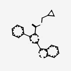 O=C(NCC1CC1)c1nc(-c2n[nH]c3ccccc23)sc1-c1ccccc1